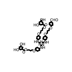 O=Cc1ccc(OCCCCOc2ccc(Nc3nc(Nc4ccc(OCCCCOC(=O)c5cc(O)cc(O)c5)cc4)nc(Nc4ccc(OCCCCOC(=O)c5cc(O)cc(O)c5)cc4)n3)cc2)cc1